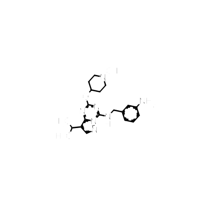 CC(C)c1cnn2c(NCc3cccc(N)c3)nc(OC3CCN(C)CC3)nc12